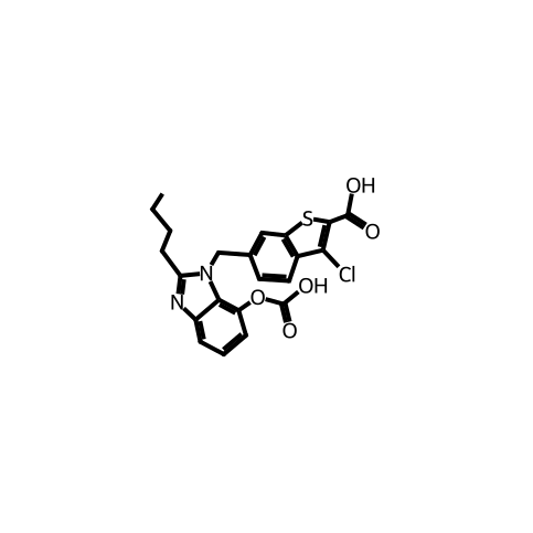 CCCCc1nc2cccc(OC(=O)O)c2n1Cc1ccc2c(Cl)c(C(=O)O)sc2c1